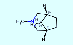 C[C@@H]1[C@@H]2CC[C@H]1CN(C)C2